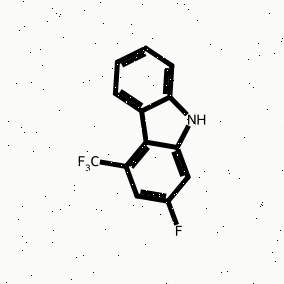 Fc1cc(C(F)(F)F)c2c(c1)[nH]c1ccccc12